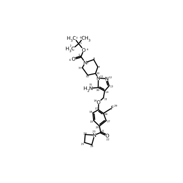 CC(C)(C)OC(=O)N1CCC(n2ncc(COc3ccc(C(=O)N4CCC4)cc3F)c2N)CC1